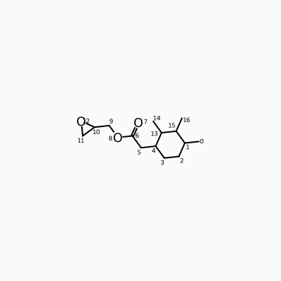 CC1CCC(CC(=O)OCC2CO2)C(C)C1C